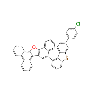 Clc1ccc(-c2ccc3c(c2)sc2cccc(-c4cc5c(oc6c7ccccc7c7ccccc7c56)c5ccccc45)c23)cc1